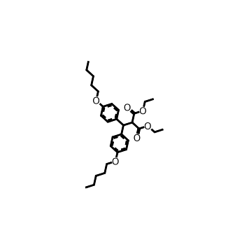 CCCCCOc1ccc(C(c2ccc(OCCCCC)cc2)C(C(=O)OCC)C(=O)OCC)cc1